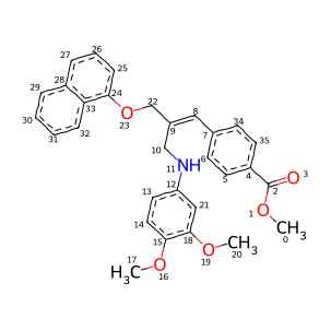 COC(=O)c1ccc(C=C(CNc2ccc(OC)c(OC)c2)COc2cccc3ccccc23)cc1